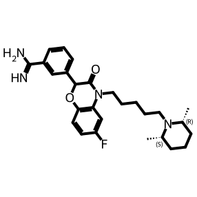 C[C@@H]1CCC[C@H](C)N1CCCCCN1C(=O)C(c2cccc(C(=N)N)c2)Oc2ccc(F)cc21